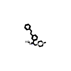 CN1CCN(C/C(=N/O)c2cccc(CCc3ccccc3)c2)CC1